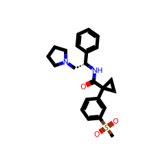 CS(=O)(=O)c1cccc(C2(C(=O)N[C@H](CN3CCCC3)c3ccccc3)CC2)c1